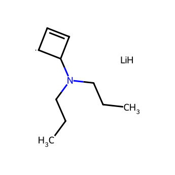 CCCN(CCC)C1[CH]C=C1.[LiH]